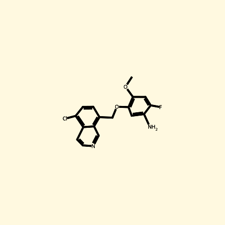 COc1cc(F)c(N)cc1OCc1ccc(Cl)c2ccncc12